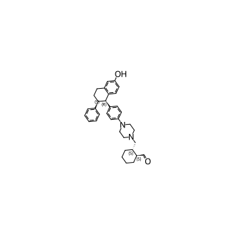 O=C[C@H]1CCCC[C@@H]1CN1CCN(c2ccc([C@@H]3c4ccc(O)cc4CC[C@@H]3c3ccccc3)cc2)CC1